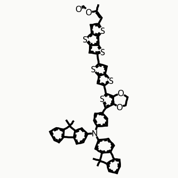 C/C(=C/c1cc2sc3cc(-c4cc5sc(-c6sc(-c7ccc(N(c8ccc9c(c8)C(C)(C)c8ccccc8-9)c8ccc9c(c8)C(C)(C)c8ccccc8-9)cc7)c7c6OCCO7)cc5s4)sc3c2s1)OC=O